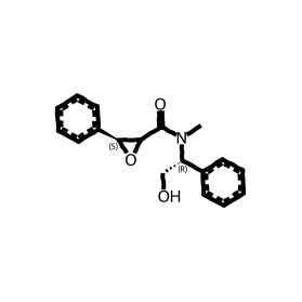 CN(C(=O)C1O[C@H]1c1ccccc1)[C@@H](CO)c1ccccc1